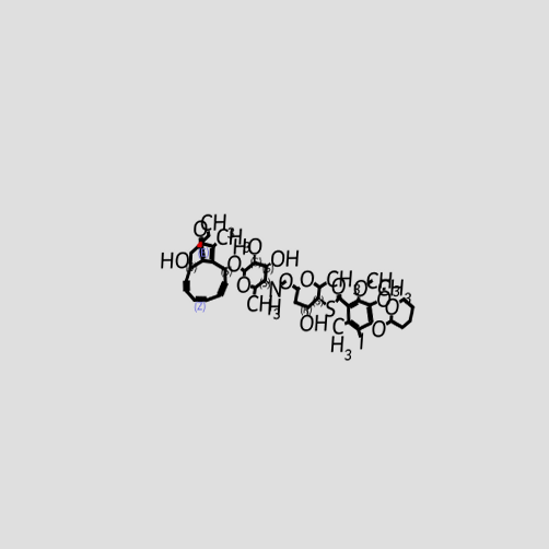 CC/C=C1\C2=C(C)C(=O)C[C@@]1(O)C#C/C=C\C#C[C@@H]2OC1OC(C)[C@@H](NOC2C[C@@H](O)[C@H](SC(=O)c3c(C)c(I)c(OC4CCCCO4)c(OC)c3OC)C(C)O2)[C@H](O)[C@@H]1O